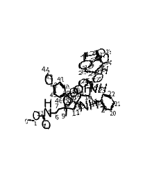 CCOC(=O)NCCC(C)(C)CC(N)([C@H](O)[C@H](Cc1ccccc1)NC(=O)O[C@H]1CO[C@H]2OCC[C@H]21)S(=O)(=O)c1ccc(OC)cc1